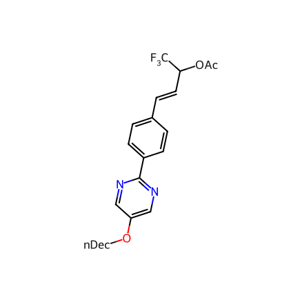 CCCCCCCCCCOc1cnc(-c2ccc(C=CC(OC(C)=O)C(F)(F)F)cc2)nc1